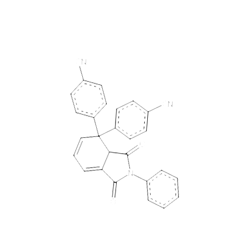 N#Cc1ccc(C2(c3ccc(C#N)cc3)C=CC=C3C(=O)N(c4ccccc4)C(=O)C32)cc1